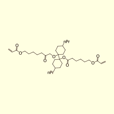 C=CC(=O)OCCCCCC(=O)COC1(C2(OC(=O)CCCCCOC(=O)C=C)CCC(CCC)CC2)CCC(CCC)CC1